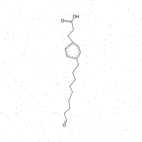 O=CCCCCCCCCc1ccc(CCC(=O)O)cc1